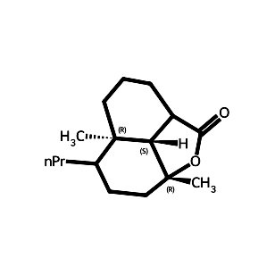 CCCC1CC[C@@]2(C)OC(=O)C3CCC[C@@]1(C)[C@H]32